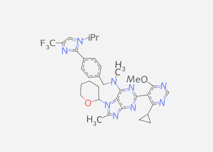 COc1ncnc(C2CC2)c1-c1nc(N(C)Cc2ccc(-c3nc(C(F)(F)F)cn3C(C)C)cc2)c2c(n1)nc(C)n2C1CCCCO1